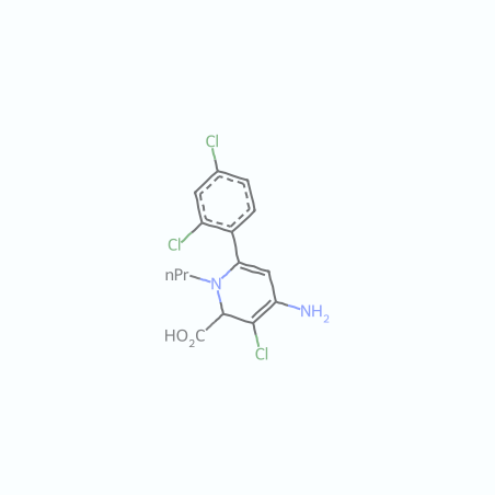 CCCN1C(c2ccc(Cl)cc2Cl)=CC(N)=C(Cl)C1C(=O)O